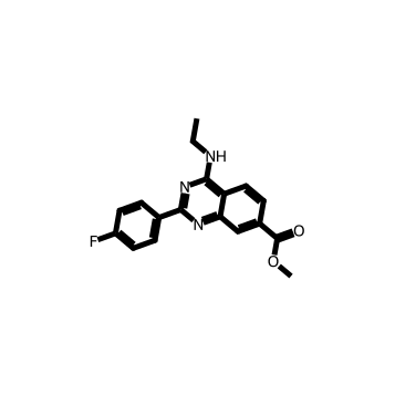 CCNc1nc(-c2ccc(F)cc2)nc2cc(C(=O)OC)ccc12